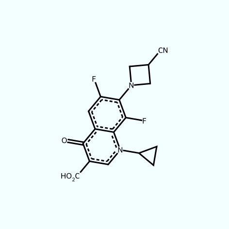 N#CC1CN(c2c(F)cc3c(=O)c(C(=O)O)cn(C4CC4)c3c2F)C1